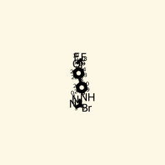 Cn1ncc(Br)c1Nc1ccc(-c2ccc(OC(F)(F)F)cc2)cc1